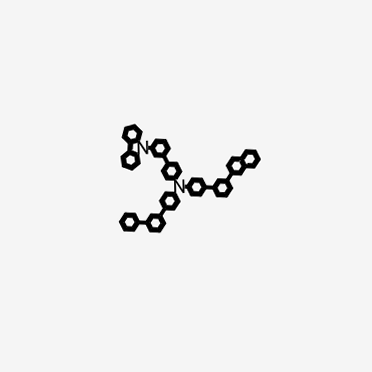 c1ccc(-c2cccc(-c3ccc(N(c4ccc(-c5cccc(-c6ccc7ccccc7c6)c5)cc4)c4ccc(-c5cccc(-n6c7ccccc7c7ccccc76)c5)cc4)cc3)c2)cc1